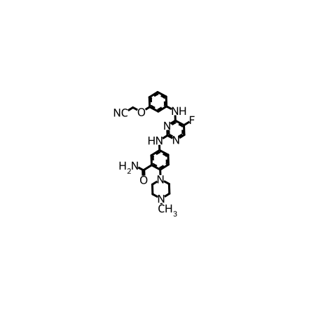 CN1CCN(c2ccc(Nc3ncc(F)c(Nc4cccc(OCC#N)c4)n3)cc2C(N)=O)CC1